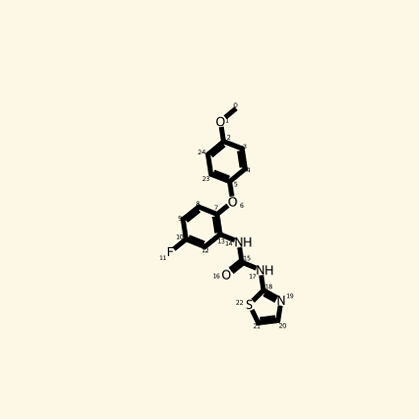 COc1ccc(Oc2ccc(F)cc2NC(=O)Nc2nccs2)cc1